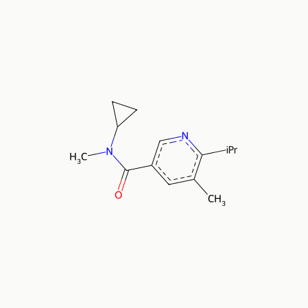 Cc1cc(C(=O)N(C)C2CC2)cnc1C(C)C